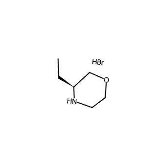 Br.CC[C@H]1COCCN1